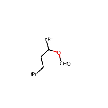 CCCC(CCC(C)C)OC=O